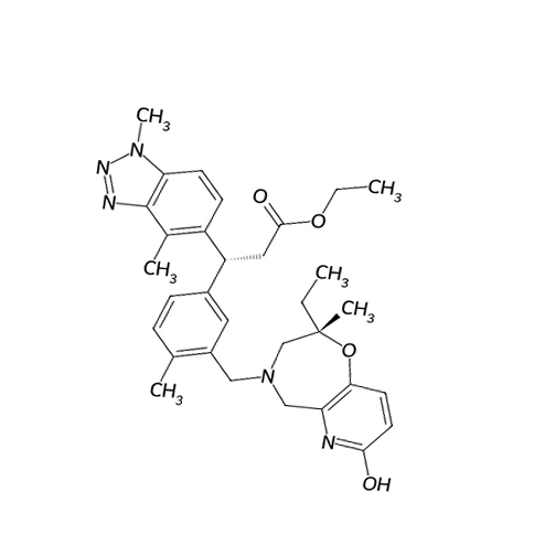 CCOC(=O)C[C@H](c1ccc(C)c(CN2Cc3nc(O)ccc3O[C@@](C)(CC)C2)c1)c1ccc2c(nnn2C)c1C